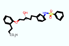 O=C(O)CCc1ccccc1OCC[C@H](O)CCc1cccc(NS(=O)(=O)c2ccccc2)c1